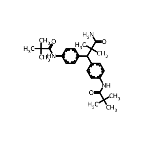 CC(C)(C)C(=O)Nc1ccc(C(c2ccc(NC(=O)C(C)(C)C)cc2)C(C)(C)C(N)=O)cc1